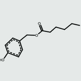 CCCCCC(=O)OCc1ccc(O)cc1